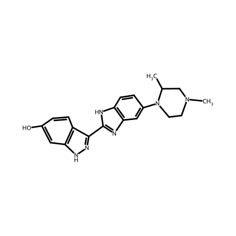 CC1CN(C)CCN1c1ccc2[nH]c(-c3n[nH]c4cc(O)ccc34)nc2c1